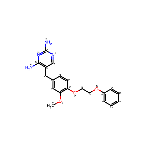 COc1cc(Cc2cnc(N)nc2N)ccc1OCCOc1ccccc1